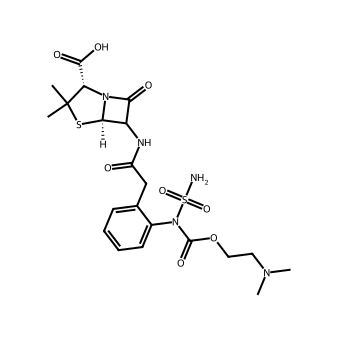 CN(C)CCOC(=O)N(c1ccccc1CC(=O)NC1C(=O)N2[C@@H]1SC(C)(C)[C@@H]2C(=O)O)S(N)(=O)=O